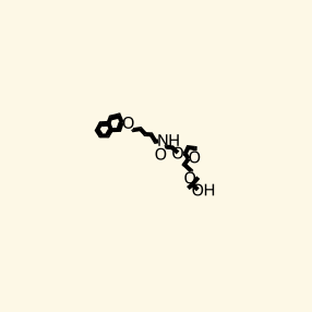 CC(C)(O)OCCC1OCCC1OCC(=O)NCCCCCOc1ccc2ccccc2c1